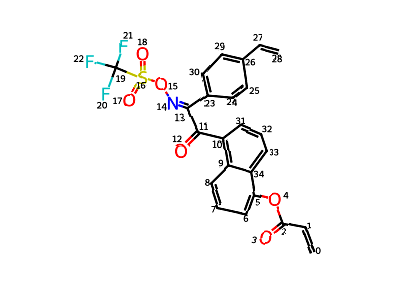 C=CC(=O)Oc1cccc2c(C(=O)/C(=N/OS(=O)(=O)C(F)(F)F)c3ccc(C=C)cc3)cccc12